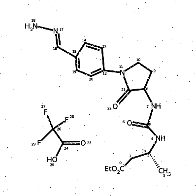 CCOC(=O)C[C@@H](C)NC(=O)NC1CCN(c2ccc(C=NN)cc2)C1=O.O=C(O)C(F)(F)F